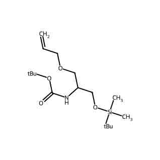 C=CCOCC(CO[Si](C)(C)C(C)(C)C)NC(=O)OC(C)(C)C